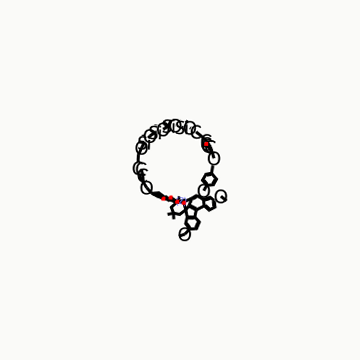 COc1ccc2c(c1)C1(CC(C)(C)CC(C)(C)C1)c1c3c(c4cc(OC)ccc4c1-2)Oc1ccc(cc1)OC1CCC(CC1)CO[Si](C)(C)O[Si](C)(C)O[Si](C)(C)O[Si](C)(C)OCC1CCC(CC1)Oc1ccc(cc1)/C=C\3